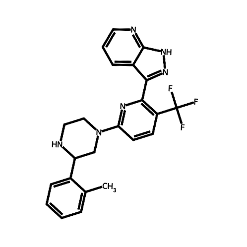 Cc1ccccc1C1CN(c2ccc(C(F)(F)F)c(-c3n[nH]c4ncccc34)n2)CCN1